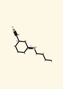 CCCC/N=C1\CCCC(C#N)C1